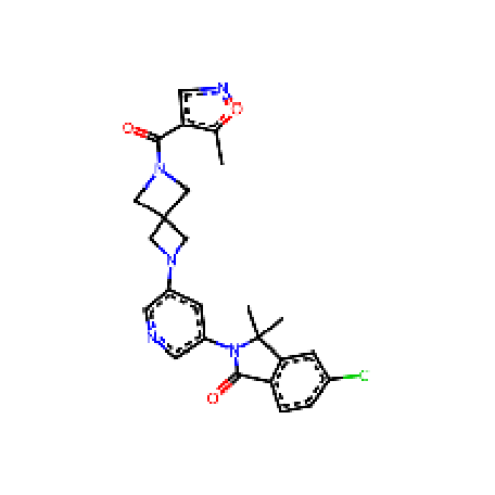 Cc1oncc1C(=O)N1CC2(C1)CN(c1cncc(N3C(=O)c4ccc(Cl)cc4C3(C)C)c1)C2